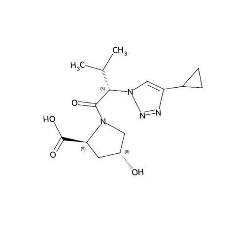 CC(C)[C@@H](C(=O)N1C[C@H](O)C[C@H]1C(=O)O)n1cc(C2CC2)nn1